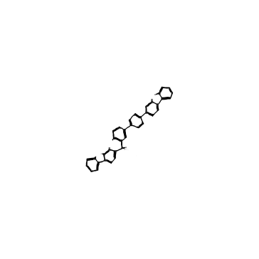 CC1(C)c2cc(-c3ccc(-c4ccc5c(c4)oc4ccccc45)cc3)ccc2Oc2c1ccc1c2oc2ccccc21